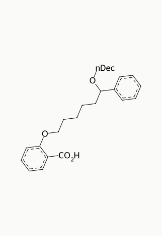 CCCCCCCCCCOC(CCCCCOc1ccccc1C(=O)O)c1ccccc1